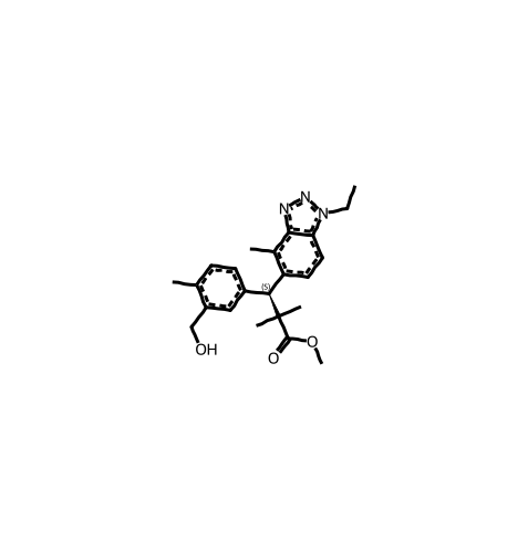 CCn1nnc2c(C)c([C@H](c3ccc(C)c(CO)c3)C(C)(C)C(=O)OC)ccc21